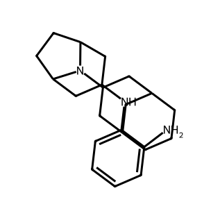 Nc1ccccc1NC1CC2CCC(C1)N2C1CC2CCCC(C2)C1